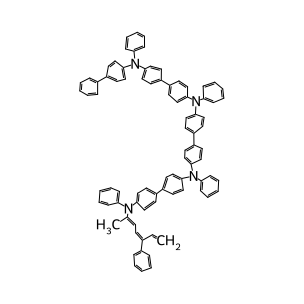 C=C/C(=C\C=C(/C)N(c1ccccc1)c1ccc(-c2ccc(N(c3ccccc3)c3ccc(-c4ccc(N(c5ccccc5)c5ccc(-c6ccc(N(c7ccccc7)c7ccc(-c8ccccc8)cc7)cc6)cc5)cc4)cc3)cc2)cc1)c1ccccc1